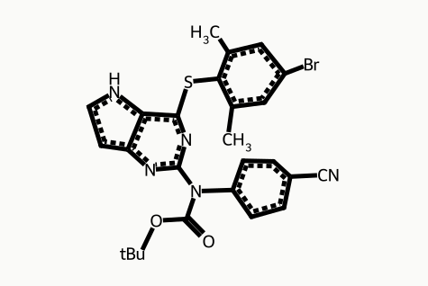 Cc1cc(Br)cc(C)c1Sc1nc(N(C(=O)OC(C)(C)C)c2ccc(C#N)cc2)nc2cc[nH]c12